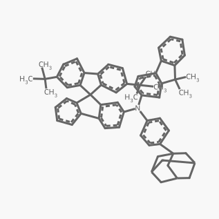 CC(C)(C)c1ccc2c(c1)C1(c3ccccc3-c3ccc(N(c4ccc(C56CC7CC(CC(C7)C5)C6)cc4)c4ccc5c(c4)C(C)(C)c4ccccc4-5)cc31)c1cc(C(C)(C)C)ccc1-2